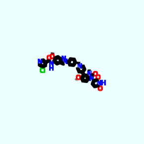 COc1cc2nn([C@H]3CC[C@H](CN4CCC(c5c(OC)ccc6c5n(C)c(=O)n6[C@H]5CCC(=O)NC5=O)CC4)CC3)cc2cc1NC(=O)c1cncc(Cl)c1